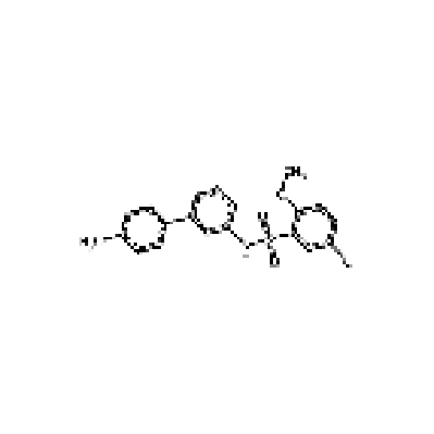 COc1ccc(Cl)cc1S(=O)(=O)Nc1cncc(-c2ccc(C)cc2)c1